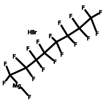 Br.[F][Mg][C](F)(F)C(F)(F)C(F)(F)C(F)(F)C(F)(F)C(F)(F)C(F)(F)C(F)(F)F